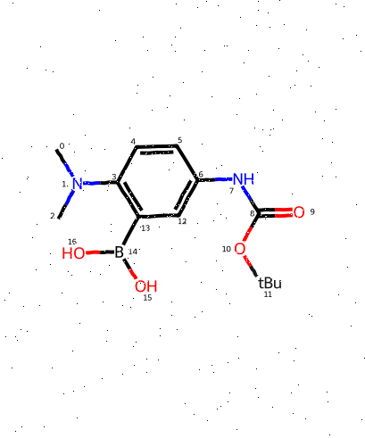 CN(C)c1ccc(NC(=O)OC(C)(C)C)cc1B(O)O